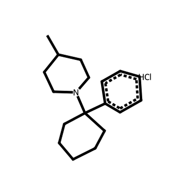 CC1CCN(C2(c3ccccc3)CCCCC2)CC1.Cl